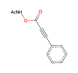 CC(=O)NOC(=O)C#Cc1ccccc1